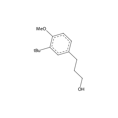 COc1ccc(CCCO)cc1C(C)(C)C